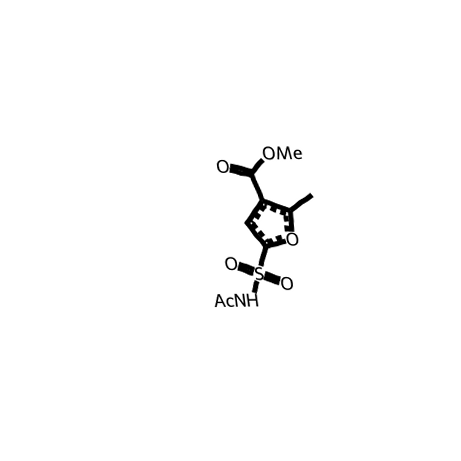 COC(=O)c1cc(S(=O)(=O)NC(C)=O)oc1C